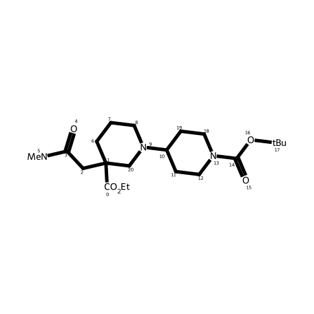 CCOC(=O)C1(CC(=O)NC)CCCN(C2CCN(C(=O)OC(C)(C)C)CC2)C1